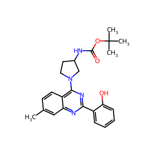 Cc1ccc2c(N3CCC(NC(=O)OC(C)(C)C)C3)nc(-c3ccccc3O)nc2c1